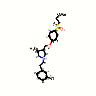 COCCS(=O)(=O)c1ccc(OCC2CN(CCc3cccc(Cl)c3)CC2C)cc1